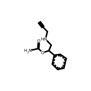 C#CCNCC(OC(N)=O)c1ccccc1